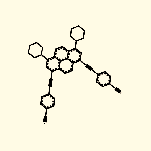 N#Cc1ccc(C#Cc2cc(C3CCCCC3)c3ccc4c(C5CCCCC5)cc(C#Cc5ccc(C#N)cc5)c5ccc2c3c54)cc1